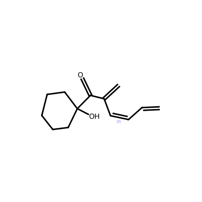 C=C/C=C\C(=C)C(=O)C1(O)CCCCC1